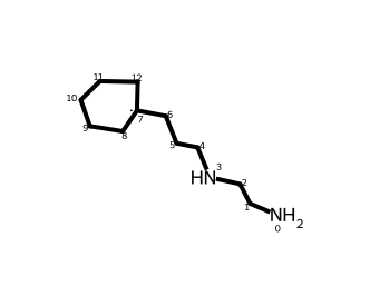 NCCNCCC[C]1CCCCC1